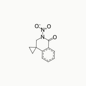 O=C1c2ccccc2C2(CC2)CN1[N+](=O)[O-]